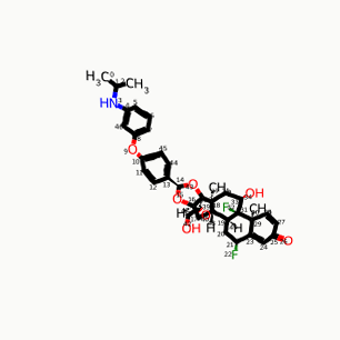 CC(C)Nc1cccc(Oc2ccc([C@@H]3O[C@@H]4C[C@H]5[C@@H]6C[C@H](F)C7=CC(=O)C=C[C@]7(C)[C@@]6(F)[C@@H](O)C[C@]5(C)[C@]4(C(=O)CO)O3)cc2)c1